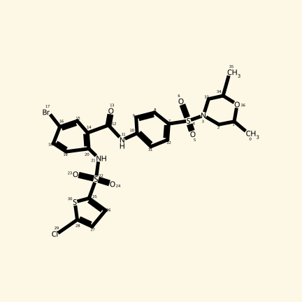 CC1CN(S(=O)(=O)c2ccc(NC(=O)c3cc(Br)ccc3NS(=O)(=O)c3ccc(Cl)s3)cc2)CC(C)O1